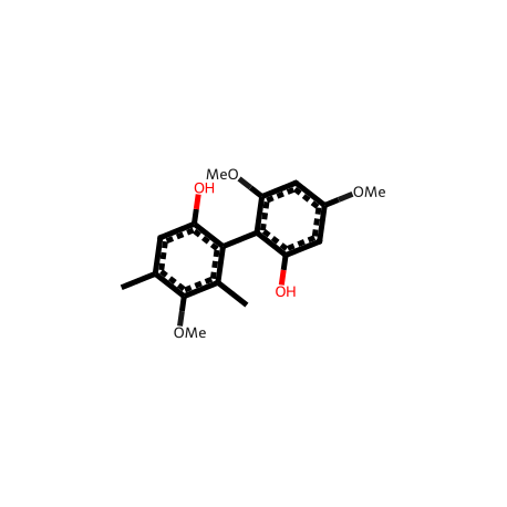 COc1cc(O)c(-c2c(O)cc(C)c(OC)c2C)c(OC)c1